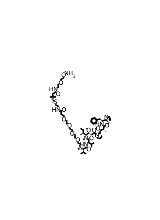 CC[C@H](C)[C@@H]([C@@H](CC(=O)N1CCC[C@H]1[C@H](OC)[C@@H](C)C(=O)N[C@@H](Cc1ccccc1)c1nccs1)OC)N(C)C(=O)[C@@H](NC(=O)[C@H](C(C)C)N(C)CCOCCOCCOCCOCCC(=O)NCCSSC(C)(C)CC(=O)NCCOCCON)C(C)C